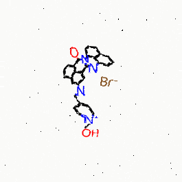 O=c1c2cccc3cc(N=Cc4cc[n+](CCO)cc4)cc(c32)c2nc3cccc4cccc(c43)n12.[Br-]